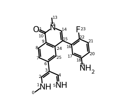 CN/C=C(\C=N)c1ccc2c(=O)n(C)cc(-c3cc(N)ccc3F)c2c1